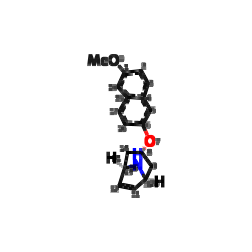 COc1ccc2cc(O[C@@H]3C[C@H]4C=C[C@@H](C3)N4)ccc2c1